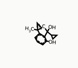 CC1(c2cccc(O)c2C(C)(O)C2CC2)CC1